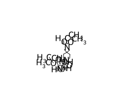 CC(C)(C)OC(=O)N1CC2(CCN(C(=O)[C@@H]3[C@@H]4CC[C@@H](CC4O)N3C(=O)OC(C)(C)C)CC2)C1